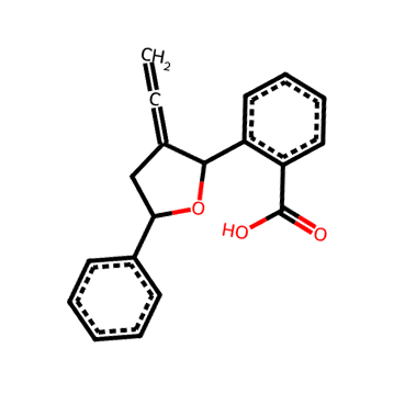 C=C=C1CC(c2ccccc2)OC1c1ccccc1C(=O)O